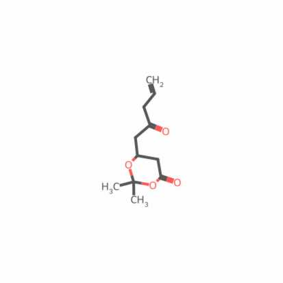 C=CCC(=O)CC1CC(=O)OC(C)(C)O1